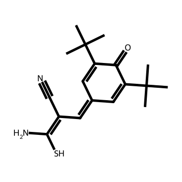 CC(C)(C)C1=CC(=C/C(C#N)=C(/N)S)C=C(C(C)(C)C)C1=O